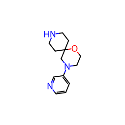 c1cncc(N2CCOC3(CCNCC3)C2)c1